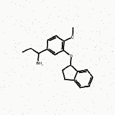 CCC(N)c1ccc(OC)c(OC2CCc3ccccc32)c1